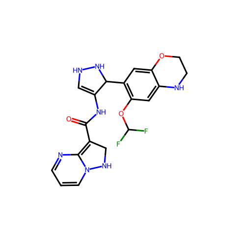 O=C(NC1=CNNC1c1cc2c(cc1OC(F)F)NCCO2)C1=C2N=CC=CN2NC1